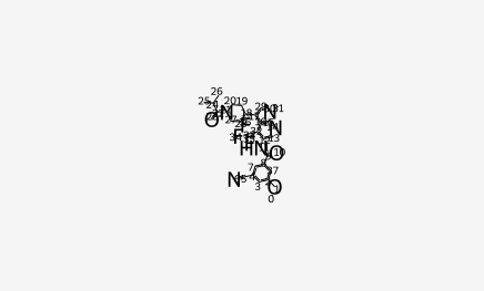 COc1cc(C#N)cc(C(=O)Nc2cnc3c(c(C4CCN(C(=O)C(C)C)CC4)cn3C)c2C(F)(F)F)c1